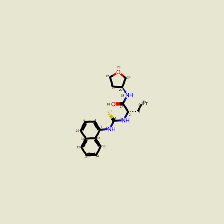 CC(C)C[C@H](NC(=S)Nc1cccc2ccccc12)C(=O)N[C@H]1CCOC1